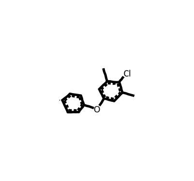 Cc1cc(Oc2cc[c]cc2)cc(C)c1Cl